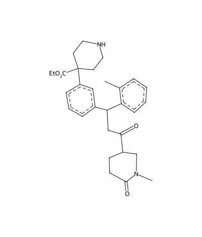 CCOC(=O)C1(c2cccc(C(CC(=O)C3CCC(=O)N(C)C3)c3ccccc3C)c2)CCNCC1